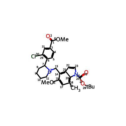 COC(=O)c1ccc(C2CCCCN2Cc2c(OC)cc(C)c3c2ccn3C(=O)OC(C)(C)C)c(Cl)c1